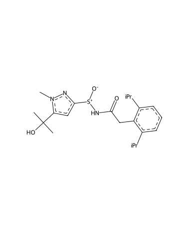 CC(C)c1cccc(C(C)C)c1CC(=O)N[S+]([O-])c1cc(C(C)(C)O)n(C)n1